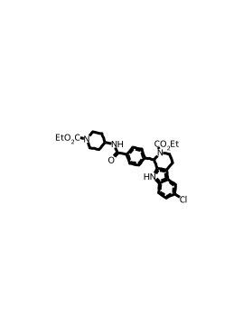 CCOC(=O)N1CCC(NC(=O)c2ccc(C3c4[nH]c5ccc(Cl)cc5c4CCN3C(=O)OCC)cc2)CC1